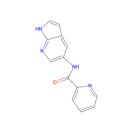 O=C(Nc1cnc2[nH]ccc2c1)c1ccccn1